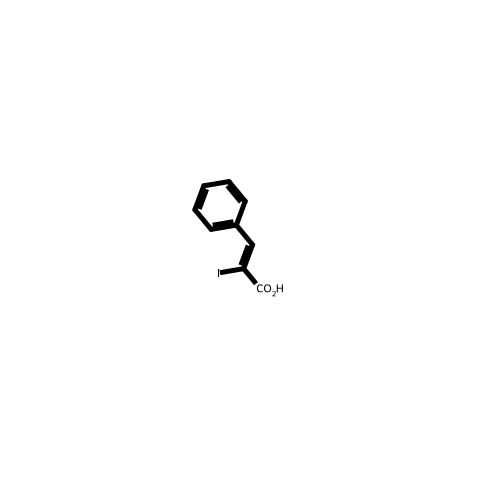 O=C(O)C(I)=Cc1ccccc1